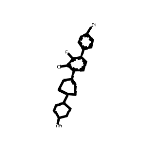 CCCC1CCC(C2CC=C(c3ccc(-c4ccc(CC)cc4)c(F)c3Cl)CC2)CC1